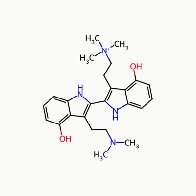 CN(C)CCc1c(-c2[nH]c3cccc(O)c3c2CC[N+](C)(C)C)[nH]c2cccc(O)c12